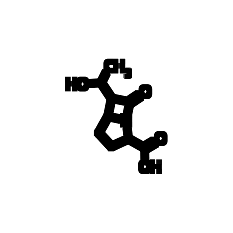 CC(O)C1C(=O)N2C(C(=O)O)CCC12